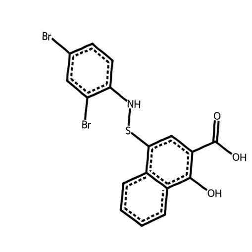 O=C(O)c1cc(SNc2ccc(Br)cc2Br)c2ccccc2c1O